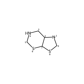 C1[N]C2CNCSC2S1